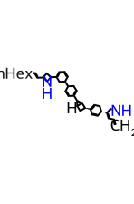 C=C/C=C(\C=N)[C@@H]1C=CC([C@H]2C[C@H]3C(C4=CCC(C5C=CC=C(C6CC(/C=C/CCCCCC)N6)C5)C=C4)=C23)=CC1